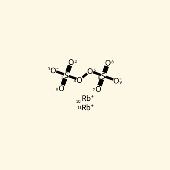 O=S(=O)([O-])OOS(=O)(=O)[O-].[Rb+].[Rb+]